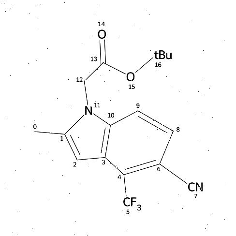 Cc1cc2c(C(F)(F)F)c(C#N)ccc2n1CC(=O)OC(C)(C)C